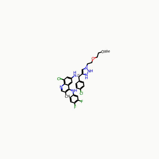 COCCOCCN1C=C([C@@H](Nc2cc(Cl)c3ncc(C#N)c(Nc4ccc(F)c(F)c4)c3c2)c2ccc(Cl)cc2)NN1